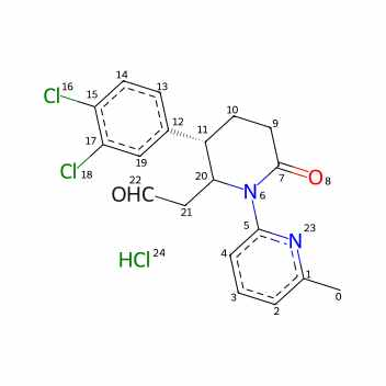 Cc1cccc(N2C(=O)CC[C@@H](c3ccc(Cl)c(Cl)c3)C2CC=O)n1.Cl